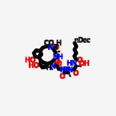 CCCCCCCCCCCCCCCC(=O)N[C@H](CO)C(=O)N[C@H](C)C(=O)NCC(=O)N(C)[C@@H]1C(=O)N[C@@H](C)C(=O)N[C@H](C(=O)O)CC2=CC[C@H](O)C(=C2)C2=C(O)C=C[C@H]1C2